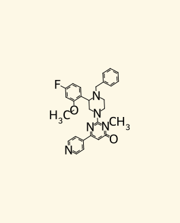 COc1cc(F)ccc1C1CN(c2nc(-c3ccncc3)cc(=O)n2C)CCN1Cc1ccccc1